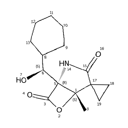 C[C@@]12OC(=O)[C@]1([C@@H](O)C1CCCCC1)NC(=O)C21CC1